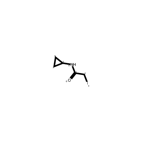 O=C(CI)NC1CC1